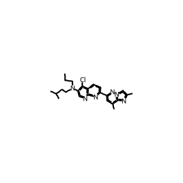 CCCN(CCC(C)C)c1cnc2nc(-c3cc(C)c4nc(C)cn4n3)ccc2c1Cl